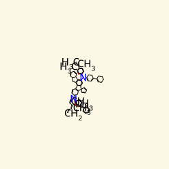 C=C/C=C(\C=C/N(c1ccc(-c2ccccc2)cc1)C1C=CC2=C(C1)C1(C=CC=C1)c1cc(N(C3=CC=C(C4=CCCCC4)CC3)c3ccc(C(C)(C)C)cc3)c3c(c12)CC1C=CC=CC31)C(C)(C)C